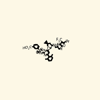 Cc1cccc(C)c1-c1cc(OC[C@@H](CC2(C)CC2)NCc2cnc3oc(C(C)C)c(C(F)(F)F)c3n2)nc(NS(=O)(=O)c2cccc(C(=O)O)c2)n1